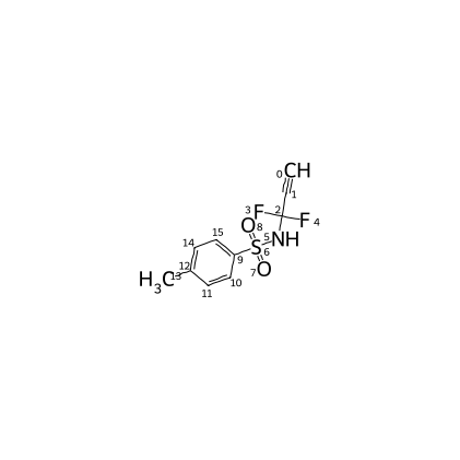 C#CC(F)(F)NS(=O)(=O)c1ccc(C)cc1